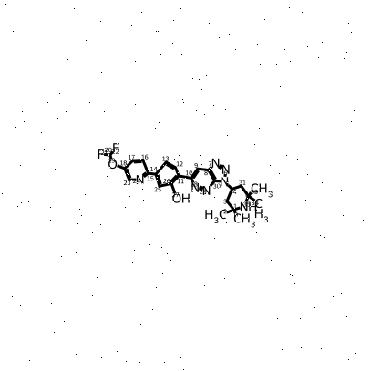 CC1(C)CC(n2nnc3cc(-c4ccc(-c5ccc(OC(F)F)cn5)cc4O)nnc32)CC(C)(C)N1